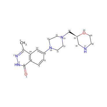 Cc1n[nH]c(=O)c2ccc(N3CCN(C[C@@H]4CNCCO4)CC3)cc12